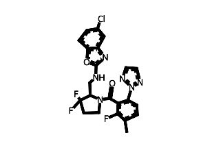 Cc1ccc(-n2nccn2)c(C(=O)N2CCC(F)(F)C2CNc2nc3cc(Cl)ccc3o2)c1F